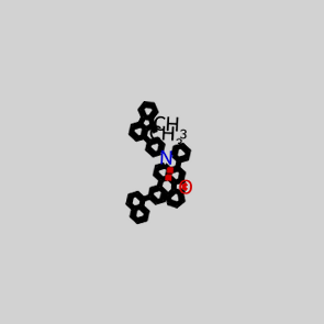 CC1(C)c2ccccc2-c2cccc(-c3ccc(N(c4ccc(-c5cccc(-c6cccc7ccccc67)c5)cc4)c4ccccc4-c4ccc5c(c4)oc4ccccc45)cc3)c21